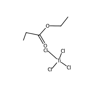 CCOC(=O)CC.[Cl][Ti]([Cl])([Cl])[Cl]